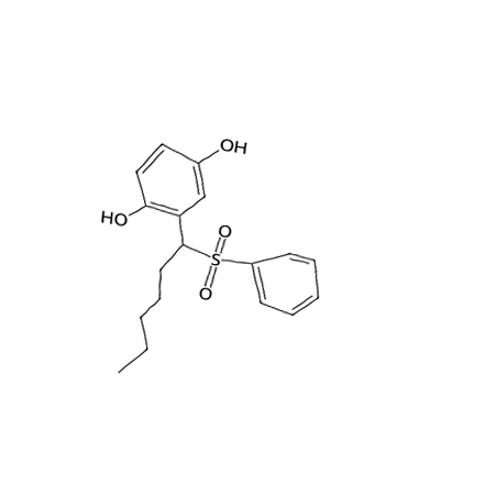 CCCCCC(c1cc(O)ccc1O)S(=O)(=O)c1ccccc1